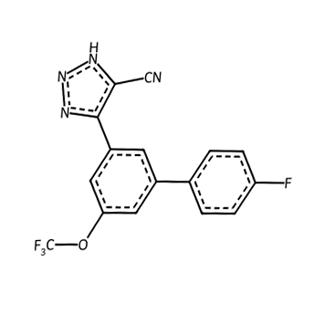 N#Cc1[nH]nnc1-c1cc(OC(F)(F)F)cc(-c2ccc(F)cc2)c1